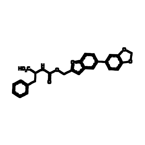 O=C(NC(Cc1ccccc1)C(=O)O)OCc1cc2cc(-c3ccc4c(c3)OCO4)ccc2o1